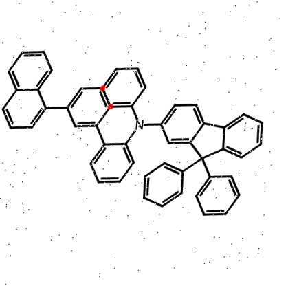 c1ccc(N(c2ccc3c(c2)C(c2ccccc2)(c2ccccc2)c2ccccc2-3)c2ccccc2-c2cccc(-c3cccc4ccccc34)c2)cc1